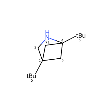 CC(C)(C)C12CNC(C(C)(C)C)(C1)C2